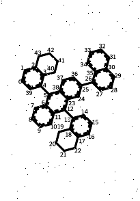 c1cc2c(c(-c3c4ccccc4c(-c4cccc5c4CCCC5)c4cc(-c5cccc6ccccc56)ccc34)c1)CCCC2